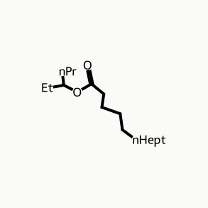 CCCCCCCCCCCC(=O)OC(CC)CCC